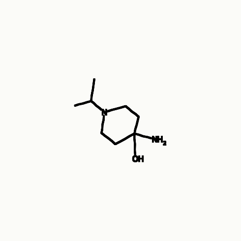 CC(C)N1CCC(N)(O)CC1